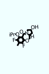 Cc1c(F)c2c(c(OC(C)C)c1F)C(=O)N1C[C@@H](O)C[C@@H]1CO2